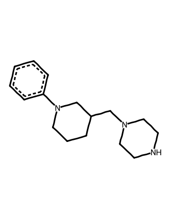 c1ccc(N2CCCC(CN3CCNCC3)C2)cc1